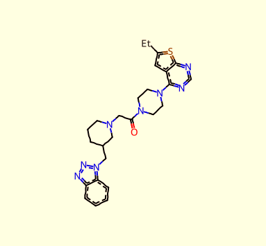 CCc1cc2c(N3CCN(C(=O)CN4CCCC(Cn5nnc6ccccc65)C4)CC3)ncnc2s1